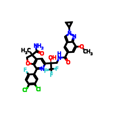 COc1cc(C(=O)NC[C@](O)(c2cc3c(c(-c4cc(Cl)c(Cl)cc4F)n2)OC[C@]3(C)C(N)=O)C(F)(F)F)cc2cn(C3CC3)nc12